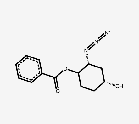 [N-]=[N+]=N[C@@H]1C[C@H](O)CCC1OC(=O)c1ccccc1